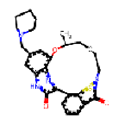 C[C@H]1CCCCn2sc3c(cccc3c2=O)-c2nc3c(cc(CN4CCCCC4)cc3[nH]c2=O)O1